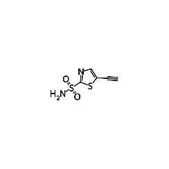 C#Cc1cnc(S(N)(=O)=O)s1